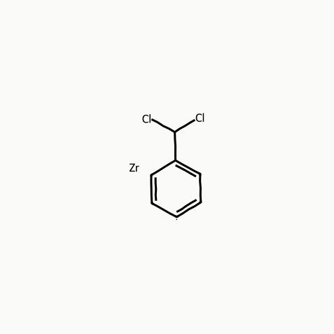 ClC(Cl)c1cc[c]cc1.[Zr]